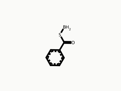 BSC(=O)c1ccccc1